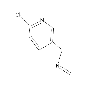 C=NCc1ccc(Cl)nc1